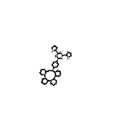 c1csc(-c2nc(-c3ccc(-c4cc5ccccc5c5ccccc5c5ccccc5c5ccccc45)cc3)nc(-c3cccs3)n2)c1